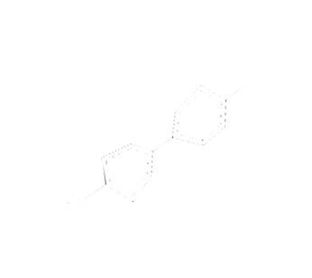 [CH2]Cc1ccc(-c2ccc(C(F)(F)F)cc2)cc1